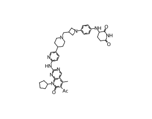 CC(=O)c1c(C)c2cnc(Nc3ccc(C4CCN(CC5CN(c6ccc(NC7CCC(=O)NC7=O)cc6)C5)CC4)cn3)nc2n(C2CCCC2)c1=O